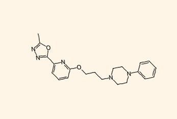 Cc1nnc(-c2cccc(OCCCN3CCN(c4ccccc4)CC3)n2)o1